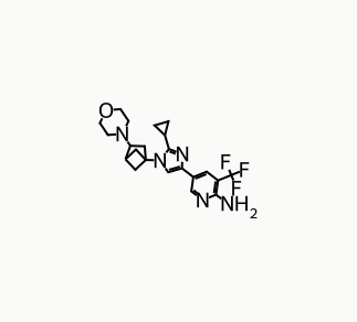 Nc1ncc(-c2cn(C34CC(C3)C(N3CCOCC3)C4)c(C3CC3)n2)cc1C(F)(F)F